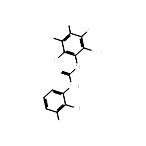 Cc1c(O)c(NC(=O)Nc2cccc(Cl)c2Cl)c(F)c(F)c1F